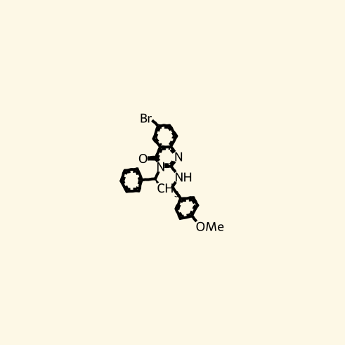 COc1ccc(CNc2nc3ccc(Br)cc3c(=O)n2[C@@H](C)c2ccccc2)cc1